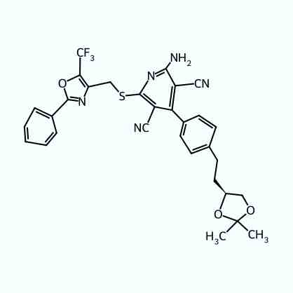 CC1(C)OC[C@H](CCc2ccc(-c3c(C#N)c(N)nc(SCc4nc(-c5ccccc5)oc4C(F)(F)F)c3C#N)cc2)O1